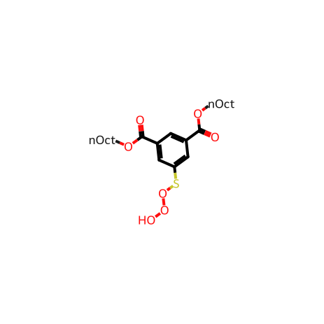 CCCCCCCCOC(=O)c1cc(SOOO)cc(C(=O)OCCCCCCCC)c1